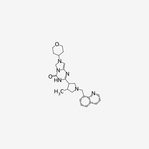 CC1CN(Cc2cccc3cccnc23)CC1C1=NC2=CN(C3CCOCC3)CN2C(=O)N1